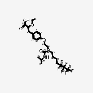 CCOC(Cc1ccc(OCCN(CCCCC(F)(F)C(F)(F)C(F)(F)F)C(=O)NC(C)C)cc1)C(=O)O